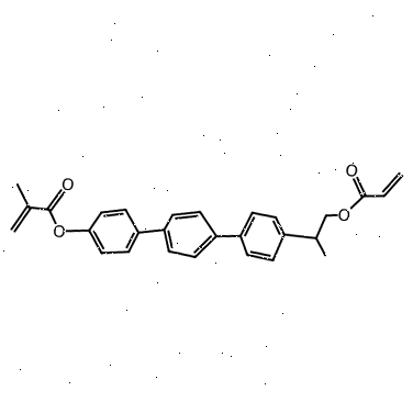 C=CC(=O)OCC(C)c1ccc(-c2ccc(-c3ccc(OC(=O)C(=C)C)cc3)cc2)cc1